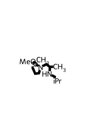 CO[Si]1(C)CCCN1CC(C)NCC(C)C